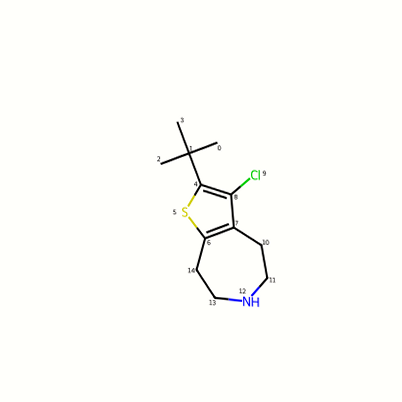 CC(C)(C)c1sc2c(c1Cl)CCNCC2